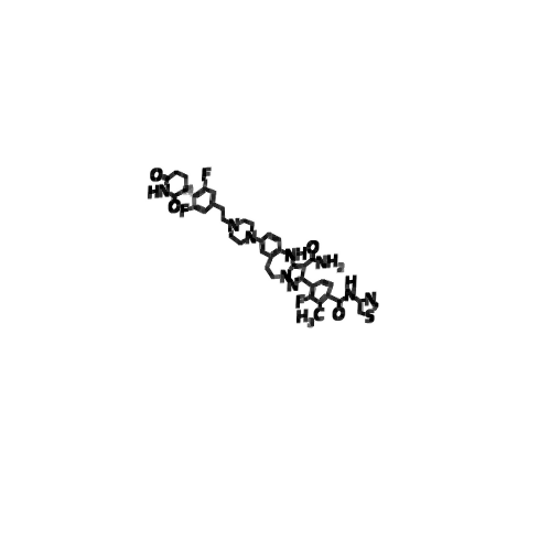 Cc1c(C(=O)Nc2cscn2)ccc(-c2nn3c(c2C(N)=O)Nc2ccc(N4CCN(CCc5cc(F)c([C@H]6CCC(=O)NC6=O)c(F)c5)CC4)cc2CC3)c1F